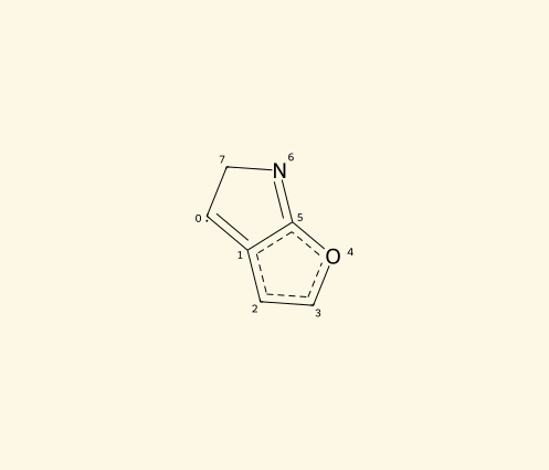 [C]1=c2ccoc2=NC1